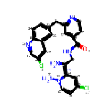 N/C(CNC(=O)c1ccnc(Cc2ccc3ncc(Cl)cc3c2)c1)=C1/C=C(Cl)C=CN1N